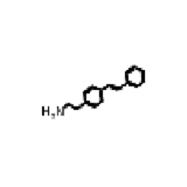 NCCc1ccc(C=Cc2ccccc2)cc1